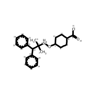 CC(C)([SiH2]OC1CCC(C(=O)Cl)CC1)C(c1ccccc1)c1ccccc1